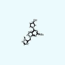 Cn1ncnc1Cn1nnc2c(N3CCC(O)C3)nc(C(C)(C)C)nc21